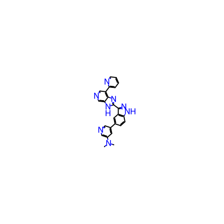 CN(C)c1cncc(-c2ccc3[nH]nc(-c4nc5c(-c6ccccn6)cncc5[nH]4)c3c2)c1